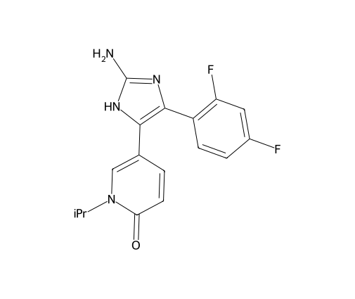 CC(C)n1cc(-c2[nH]c(N)nc2-c2ccc(F)cc2F)ccc1=O